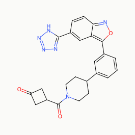 O=C1CC(C(=O)N2CCC(c3cccc(-c4onc5ccc(-c6nnn[nH]6)cc45)c3)CC2)C1